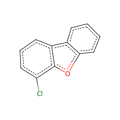 Clc1cccc2c1oc1ccccc12